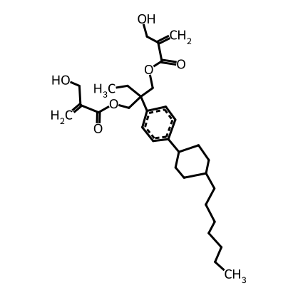 C=C(CO)C(=O)OCC(CC)(COC(=O)C(=C)CO)c1ccc(C2CCC(CCCCCCC)CC2)cc1